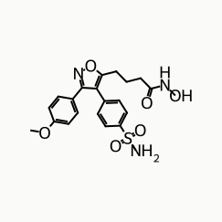 COc1ccc(-c2noc(CCCC(=O)NO)c2-c2ccc(S(N)(=O)=O)cc2)cc1